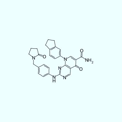 NC(=O)c1cn(-c2ccc3c(c2)CCC3)c2nc(Nc3ccc(CN4CCCC4=O)cc3)ncc2c1=O